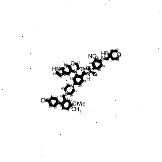 COC1(C)CCC(c2ccc(Cl)cc2)=C(CN2CCN(c3ccc(C(=O)NS(=O)(=O)c4ccc(NCC5(F)CCOCC5)c([N+](=O)[O-])c4)c(N4CCOc5nc6[nH]ccc6cc54)c3)CC2)C1